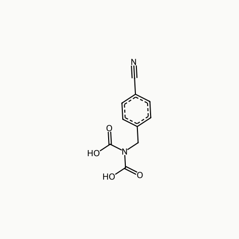 N#Cc1ccc(CN(C(=O)O)C(=O)O)cc1